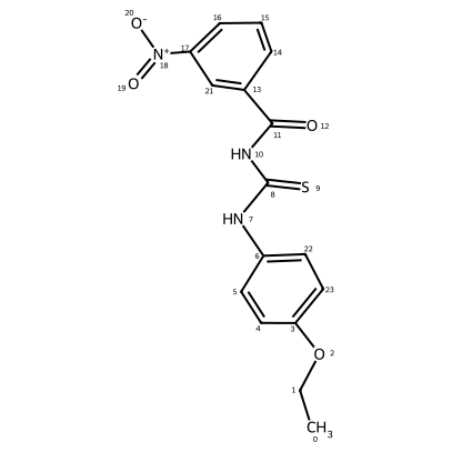 CCOc1ccc(NC(=S)NC(=O)c2cccc([N+](=O)[O-])c2)cc1